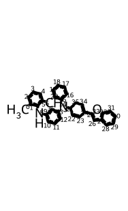 Cc1cccc(C)c1Nc1cccc(N(c2ccccc2)C2C=CC(c3cc4ccccc4o3)=CC2)c1